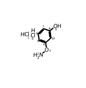 Cl.Cl.NOc1cccc(O)c1